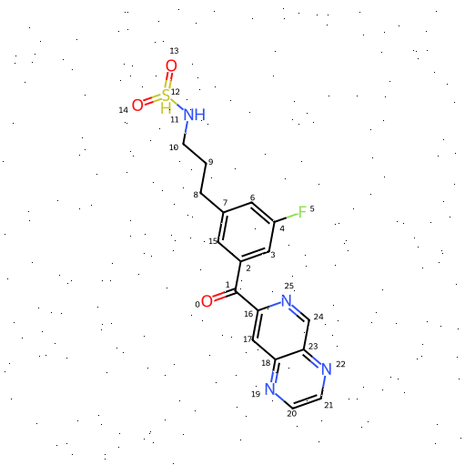 O=C(c1cc(F)cc(CCCN[SH](=O)=O)c1)c1cc2nccnc2cn1